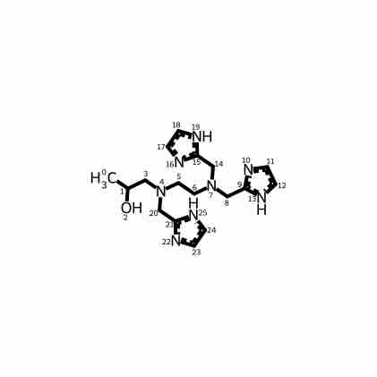 CC(O)CN(CCN(Cc1ncc[nH]1)Cc1ncc[nH]1)Cc1ncc[nH]1